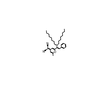 CCCCCCCCN(CCCCCCCC)C(=Cc1ccccc1)C1=CC(=C(C#N)C#N)C=C(C)O1